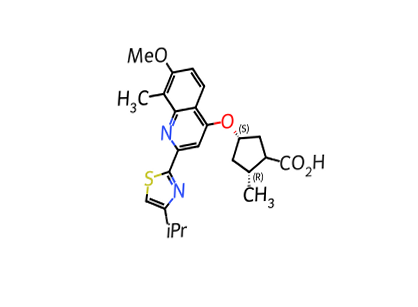 COc1ccc2c(O[C@@H]3CC(C(=O)O)[C@H](C)C3)cc(-c3nc(C(C)C)cs3)nc2c1C